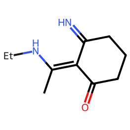 CCN/C(C)=C1\C(=N)CCCC1=O